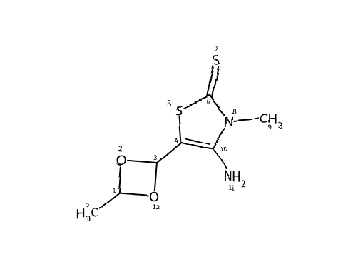 CC1OC(c2sc(=S)n(C)c2N)O1